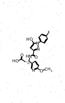 COc1ccc([C@H](CC(=O)O)NC(=O)c2cc(O)n(-c3ccc(F)cc3)n2)cn1